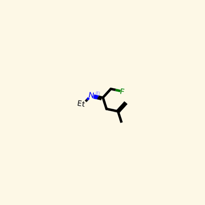 C=C(C)C/C(CF)=N\CC